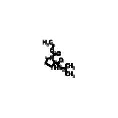 CCOC(=O)N1CCCC1C(=O)NC(C)C